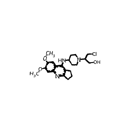 COc1cc2nc3c(c(NC4CCN(C(CO)CCl)CC4)c2cc1OC)CCC3